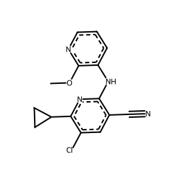 COc1ncccc1Nc1nc(C2CC2)c(Cl)cc1C#N